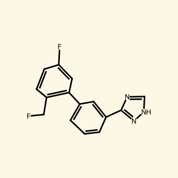 FCc1ccc(F)cc1-c1cccc(-c2nc[nH]n2)c1